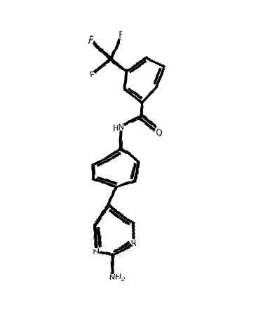 Nc1ncc(-c2ccc(NC(=O)c3cccc(C(F)(F)F)c3)cc2)cn1